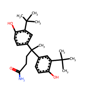 CC(C)(C)c1cc(C(C)(CCC(N)=O)c2ccc(O)c(C(C)(C)C)c2)ccc1O